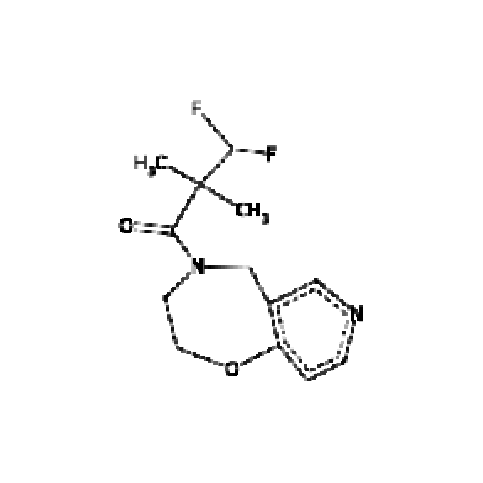 CC(C)(C(=O)N1CCOc2ccncc2C1)C(F)F